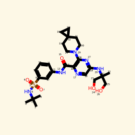 CC(C)(C)NS(=O)(=O)c1cccc(NC(=O)c2ncc(NC(C)(CO)CO)nc2N2CCC3(CC2)CC3)c1